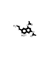 CC(=O)Oc1cc(OC(C)=O)c2cc(CCN)ccc2c1.Cl